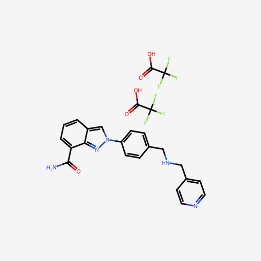 NC(=O)c1cccc2cn(-c3ccc(CNCc4ccncc4)cc3)nc12.O=C(O)C(F)(F)F.O=C(O)C(F)(F)F